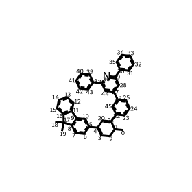 CC1CC=C(c2ccc3c(c2)-c2ccccc2C3(C)C)C=C1c1cccc(-c2cc(-c3ccccc3)nc(-c3ccccc3)c2)c1